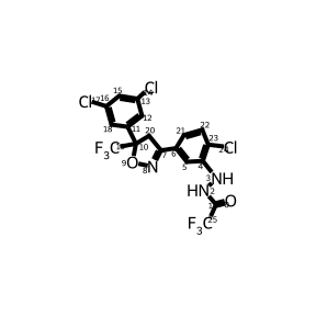 O=C(NNc1cc(C2=NOC(c3cc(Cl)cc(Cl)c3)(C(F)(F)F)C2)ccc1Cl)C(F)(F)F